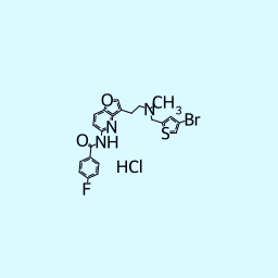 CN(CCc1coc2ccc(NC(=O)c3ccc(F)cc3)nc12)Cc1cc(Br)cs1.Cl